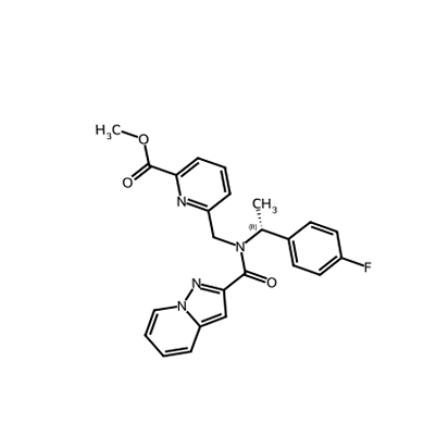 COC(=O)c1cccc(CN(C(=O)c2cc3ccccn3n2)[C@H](C)c2ccc(F)cc2)n1